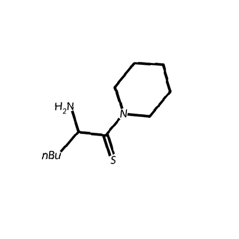 CCCCC(N)C(=S)N1CCCCC1